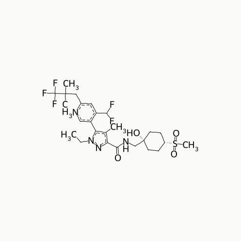 CCn1nc(C(=O)NC[C@]2(O)CC[C@@H](S(C)(=O)=O)CC2)c(C)c1-c1cnc(CC(C)(C)C(F)(F)F)cc1C(F)F